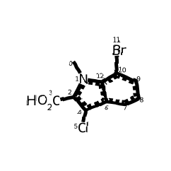 Cn1c(C(=O)O)c(Cl)c2cccc(Br)c21